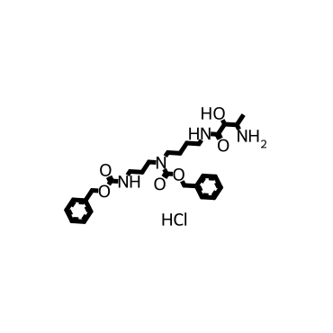 CC(N)C(O)C(=O)NCCCCN(CCCNC(=O)OCc1ccccc1)C(=O)OCc1ccccc1.Cl